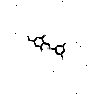 CCC1CC(=O)C(=CNc2cc(F)cc(I)c2)C(=O)C1